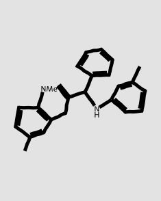 C=C(Cc1cc(C)ccc1NC)C(Nc1cccc(C)c1)c1ccccc1